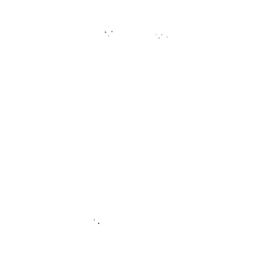 COc1cc(C2CC(=O)Oc3c2ccc2c3ccn2C)cc(Br)c1OC